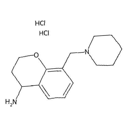 Cl.Cl.NC1CCOc2c(CN3CCCCC3)cccc21